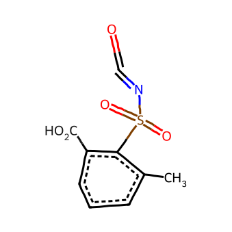 Cc1cccc(C(=O)O)c1S(=O)(=O)N=C=O